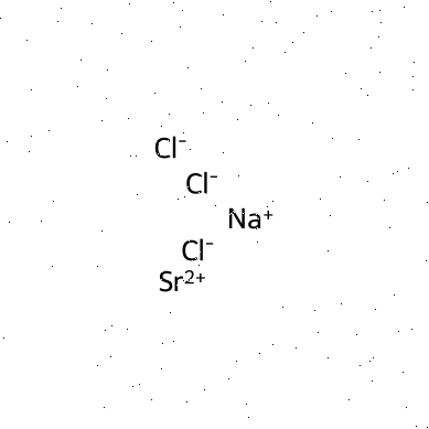 [Cl-].[Cl-].[Cl-].[Na+].[Sr+2]